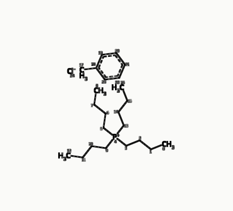 CCCC[P+](CCCC)(CCCC)CCCC.Cc1ccccc1.[Cl-]